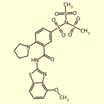 COc1cccc2sc(NC(=O)c3cc(S(=O)(=O)N(S(C)(=O)=O)S(C)(=O)=O)ccc3N3CCCC3)nc12